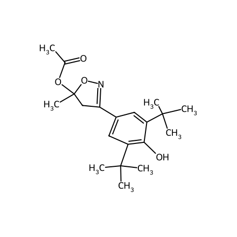 CC(=O)OC1(C)CC(c2cc(C(C)(C)C)c(O)c(C(C)(C)C)c2)=NO1